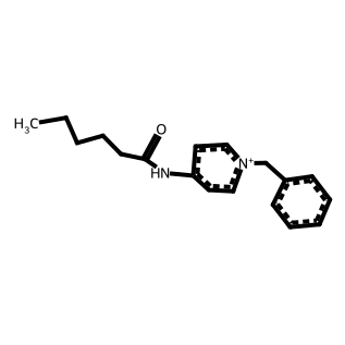 CCCCCC(=O)Nc1cc[n+](Cc2ccccc2)cc1